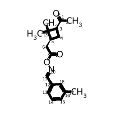 CC(=O)[C@H]1C[C@@H](CC(=O)ON=Cc2cccc(C)c2)C1(C)C